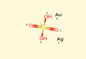 O=S(=O)(O)O.[Ag].[Au]